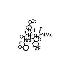 CCO[C@@H]1C[C@@H]2CN(C(=O)[C@@H](NC(=O)[C@@H](CF)NC)C3CCC(F)(F)CC3)[C@H](C(=O)N[C@@H]3CCOc4ccccc43)CN2C1